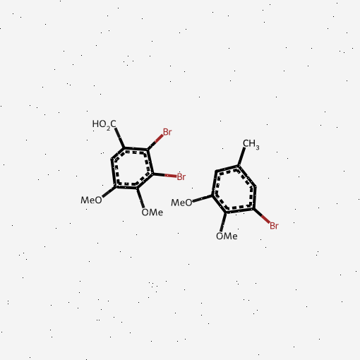 COc1cc(C(=O)O)c(Br)c(Br)c1OC.COc1cc(C)cc(Br)c1OC